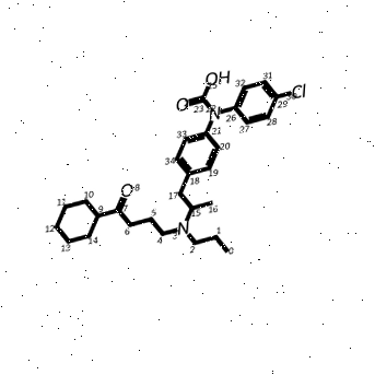 CCCN(CCCC(=O)C1CCCCC1)C(C)Cc1ccc(N(C(=O)O)c2ccc(Cl)cc2)cc1